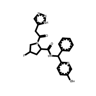 CC(C)(C)c1ccc(C(NC(=O)C2CC(F)CN2C(=O)Cc2cnn[nH]2)c2ccccc2)nc1